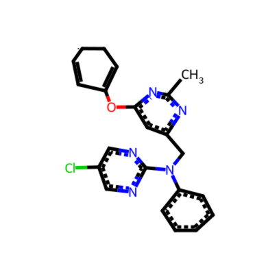 Cc1nc(CN(c2ccccc2)c2ncc(Cl)cn2)cc(OC2=CC[CH]C=C2)n1